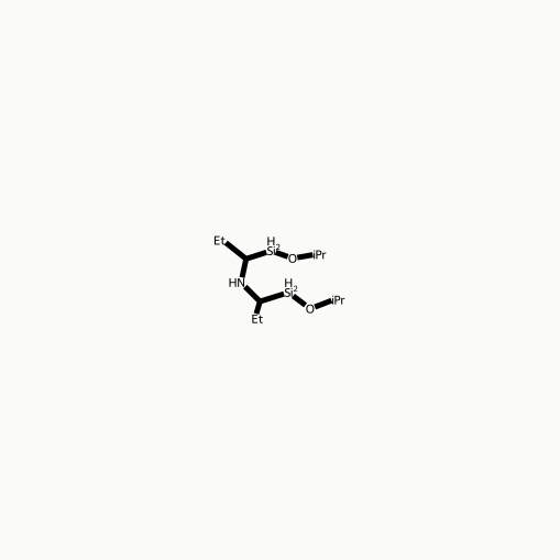 CCC(NC(CC)[SiH2]OC(C)C)[SiH2]OC(C)C